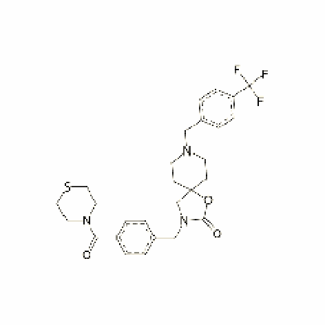 O=C1OC2(CCN(Cc3ccc(C(F)(F)F)cc3)CC2)CN1Cc1ccc(C(=O)N2CCSCC2)cc1